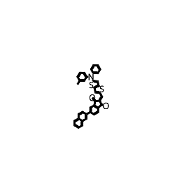 Cc1cccc(N(c2ccccc2)c2cc3sc(/C=C4/C(=O)c5ccc(-c6ccc7ccccc7c6)cc5C4=O)cc3s2)c1